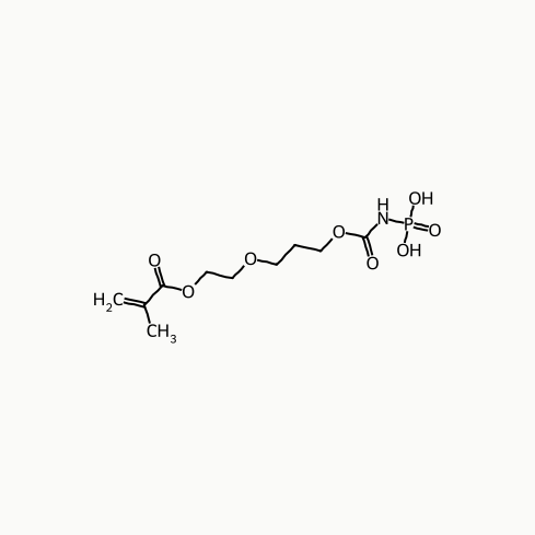 C=C(C)C(=O)OCCOCCCOC(=O)NP(=O)(O)O